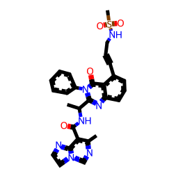 Cc1ncn2ccnc2c1C(=O)NC(C)c1nc2cccc(C#CCNS(C)(=O)=O)c2c(=O)n1-c1ccccc1